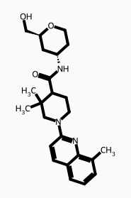 Cc1cccc2ccc(N3CCC(C(=O)N[C@H]4CCO[C@H](CO)C4)C(C)(C)C3)nc12